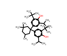 CC1CC(C)(C)CC(c2cc(C(C)C)c(O)c(C(C)(C)C)c2)(c2cc(C(C)C)c(O)c(C(C)(C)C)c2)C1